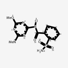 CNc1nc(OC)nc(N(Cl)C(=O)c2ccccc2S(N)(=O)=O)n1